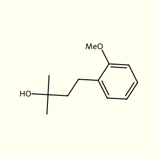 COc1ccccc1CCC(C)(C)O